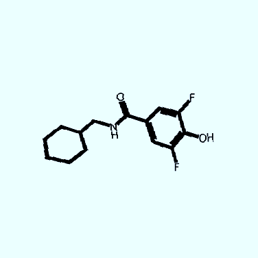 O=C(NCC1CCCCC1)c1cc(F)c(O)c(F)c1